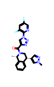 C[C@H]1c2ccccc2[C@@H](c2cnn(C)c2)CN1C(=O)c1cn(-c2ncc(F)cc2F)nn1